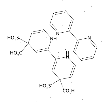 O=C(O)C1(S(=O)(=O)O)C=CNC(C2=CC(C(=O)O)(S(=O)(=O)O)C=CN2)=C1.c1ccc(-c2ccccn2)nc1